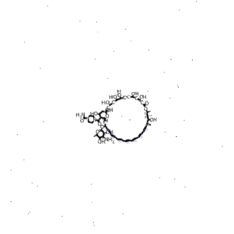 C[C@@H]1OC(=O)CC(O)CC(O)CCC(O)C(O)CC(O)CC2(O)C[C@H](O)C(C(=O)N3CCN(C(N)=O)CC3)[C@H](CC(O[C@@H]3O[C@H](C)C(O)[C@H](N)[C@@H]3O)/C=C/C=C/C=C/C=C/C=C/C=C/C=C/[C@H](C)C(O)[C@H]1C)O2